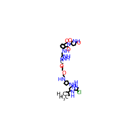 CCC(CC)C1CC(N[C@H]2CC[C@H](NCCOCCOCCN3CC(CNc4cccc5c4C(=O)N(C4CCC(=O)NC4=O)C5=O)NN3)C2)N2NCC(Cl)C2N1